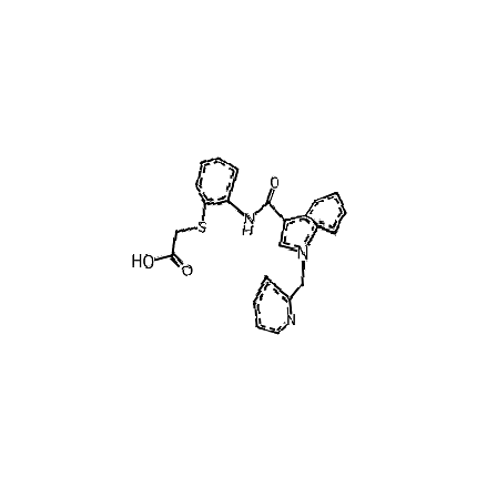 O=C(O)CSc1ccccc1NC(=O)c1cn(Cc2ccccn2)c2ccccc12